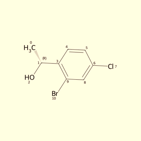 C[C@@H](O)c1ccc(Cl)cc1Br